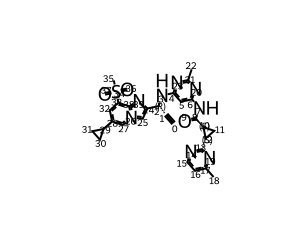 C#C[C@@H](Nc1cc(NC(=O)[C@H]2C[C@@H]2c2nccc(C)n2)nc(C)n1)c1cn2cc(C3CC3)cc(S(C)(=O)=O)c2n1